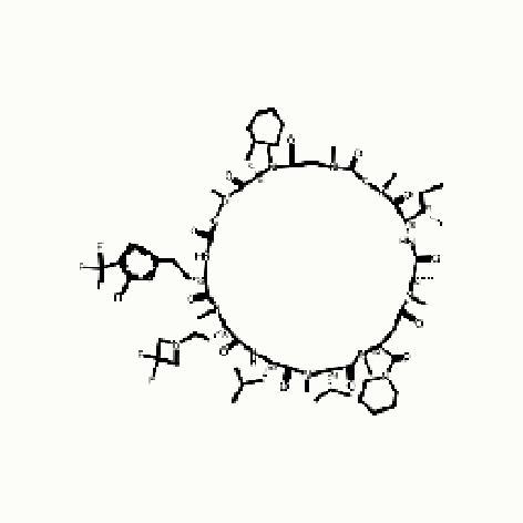 CC[C@H](C)[C@@H]1NC(=O)[C@H](C)N(C)C(=O)C[C@@H](C(=O)N2CCCCC2)N(C)C(=O)[C@H](C(C)C)N(C)C(=O)[C@H](CC(C)C)NC(=O)[C@H](CCN2CC(F)(F)C2)N(C)C(=O)[C@H](CCc2ccc(C(F)(F)F)c(Cl)c2)NC(=O)CN(C)C(=O)[C@H](CC2CCCCC2)N(C)C(=O)CN(C)C(=O)CN(C)C1=O